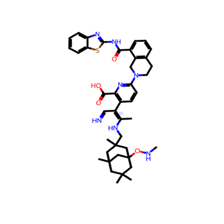 CNOC12CC(C)(C)CC(C)(CC(C)(CN/C(C)=C(\C=N)c3ccc(N4CCc5cccc(C(=O)Nc6nc7ccccc7s6)c5C4)nc3C(=O)O)C1)C2